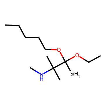 CCCCCOC([SiH3])(OCC)C(C)(C)NC